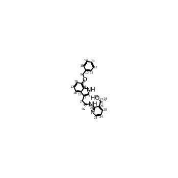 C[C@H](Cc1c[nH]c2c(OCc3ccccc3)cccc12)Nc1ncccc1[C@@H](C)O